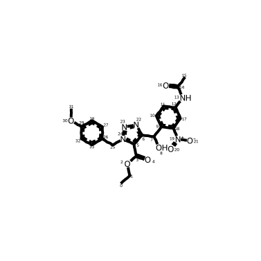 CCOC(=O)c1c(C(O)c2ccc(NC(C)=O)cc2[N+](=O)[O-])nnn1Cc1ccc(OC)cc1